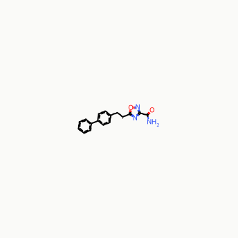 NC(=O)c1noc([CH]Cc2ccc(-c3ccccc3)cc2)n1